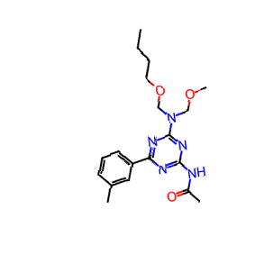 CCCCOCN(COC)c1nc(NC(C)=O)nc(-c2cccc(C)c2)n1